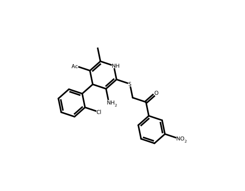 CC(=O)C1=C(C)NC(SCC(=O)c2cccc([N+](=O)[O-])c2)=C(N)C1c1ccccc1Cl